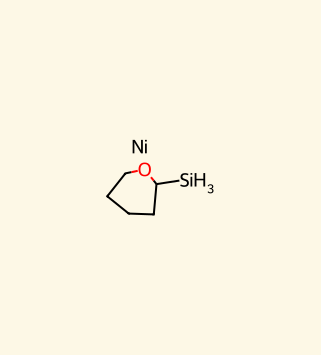 [Ni].[SiH3]C1CCCCO1